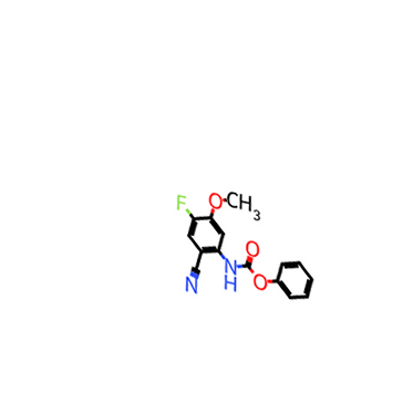 COc1cc(NC(=O)Oc2ccccc2)c(C#N)cc1F